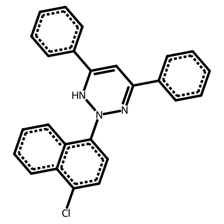 Clc1ccc(N2N=C(c3ccccc3)C=C(c3ccccc3)N2)c2ccccc12